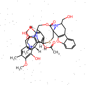 COc1c(C)cc2c(c1O)[C@H]1[C@@H]3[C@@H]4SC[C@]5(NC(CO)Cc6c5oc5ccccc65)C(=O)OC[C@@H](c5c6c(c(C)c(OC(C)=O)c54)OCO6)N3C(O)(C2)CN1C